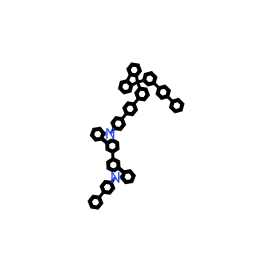 c1ccc(-c2ccc(-c3cccc(C4(c5cccc(-c6ccc(-c7ccc(-n8c9ccccc9c9cc(-c%10ccc%11c(c%10)c%10ccccc%10n%11-c%10ccc(-c%11ccccc%11)cc%10)ccc98)cc7)cc6)c5)c5ccccc5-c5ccccc54)c3)cc2)cc1